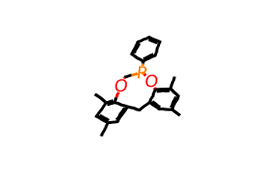 Cc1cc(C)c2c(c1)Cc1cc(C)cc(C)c1OP(c1ccccc1)CO2